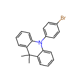 CC1(C)c2ccccc2N(c2ccc(Br)cc2)c2ccccc21